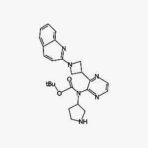 CC(C)(C)OC(=O)N(c1nccnc1C1CN(c2ccc3ccccc3n2)C1)C1CCNC1